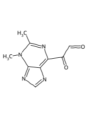 Cc1nc(C(=O)C=O)c2ncnc-2n1C